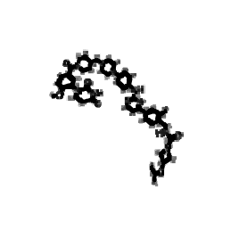 COc1ccc(C(=O)N2CCC(CN3CCN(c4ccc(Nc5nccc(-c6ccc(CNC(=O)N7CC(OC(C)C)C7)c(C)c6)n5)cc4)CC3)CC2)cc1N1CCC(=O)NC1=O